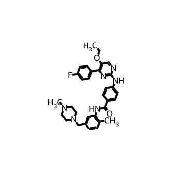 CCOc1cnc(Nc2ccc(C(=O)Nc3cc(CN4CCN(C)CC4)ccc3C)cc2)nc1-c1ccc(F)cc1